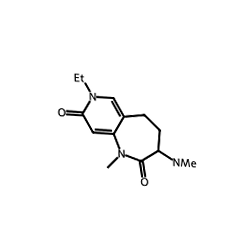 CCn1cc2c(cc1=O)N(C)C(=O)C(NC)CC2